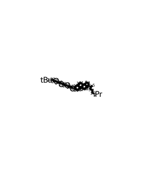 CC(C)CCCC(C)[C@H]1CCC2C3CC=C4C[C@@H](OCCOCCOCCOCCC(C)(C)C)CCC4(C)C3CCC21C